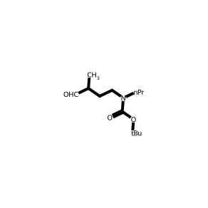 CCCN(CCC(C)C=O)C(=O)OC(C)(C)C